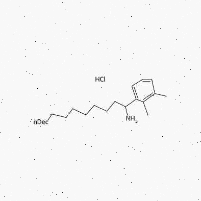 CCCCCCCCCCCCCCCCCC(N)c1cccc(C)c1C.Cl